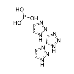 OP(O)O.c1c[nH]nn1.c1c[nH]nn1.c1c[nH]nn1